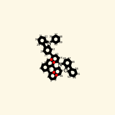 c1ccc(-c2cccc3cccc(-c4ccccc4N(c4ccc(-c5ccc6c7ccccc7n(-c7ccccc7)c6c5)cc4)c4cccc5c4oc4ccccc45)c23)cc1